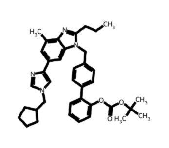 CCCc1nc2c(C)cc(-c3cn(CC4CCCC4)cn3)cc2n1Cc1ccc(-c2ccccc2OC(=O)OC(C)(C)C)cc1